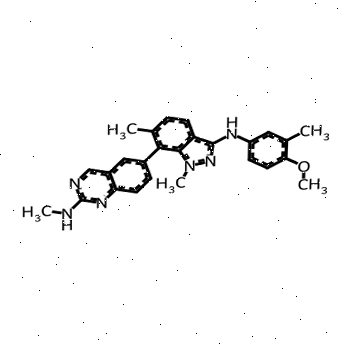 CNc1ncc2cc(-c3c(C)ccc4c(Nc5ccc(OC)c(C)c5)nn(C)c34)ccc2n1